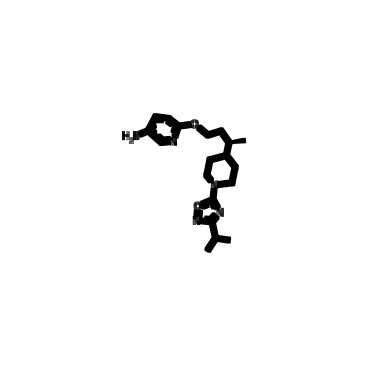 Bc1ccc(OCC[C@@H](C)C2CCN(c3nc(C(C)C)no3)CC2)nc1